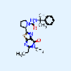 CCc1nc2sc(C3CCCN3C(=O)NC(C)(C)c3ccccc3)nc2c(=O)n1C